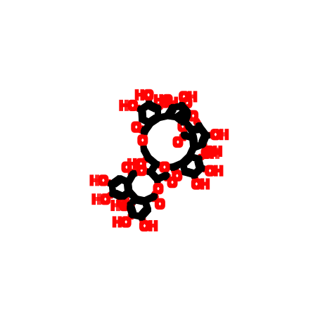 O=CC1OC(=O)c2cc(O)c(O)c(O)c2-c2c(cc(O)c(O)c2O)C(=O)OC1C1OC(=O)c2cc(O)c(O)c(O)c2-c2c(O)c(O)c3oc(=O)c4c(c(O)c(O)c5oc(=O)c2c3c54)-c2c(cc(O)c(O)c2O)C(=O)OCC1O